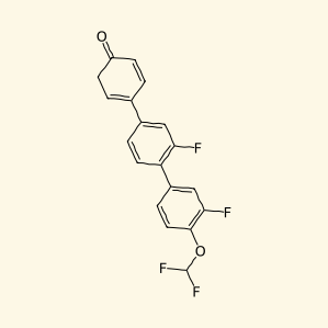 O=C1C=CC(c2ccc(-c3ccc(OC(F)F)c(F)c3)c(F)c2)=CC1